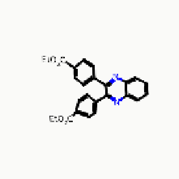 CCOC(=O)c1ccc(-c2nc3ccccc3nc2-c2ccc(C(=O)OCC)cc2)cc1